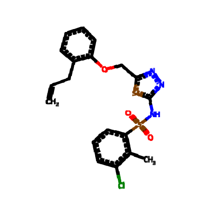 C=CCc1ccccc1OCc1nnc(NS(=O)(=O)c2cccc(Cl)c2C)s1